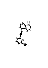 Nc1cccc(C#Cc2ccnc3c2CCCN3)c1